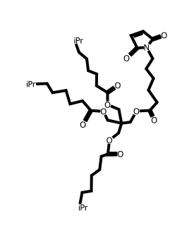 CC(C)CCCCCC(=O)OCC(COC(=O)CCCCCC(C)C)(COC(=O)CCCCCC(C)C)COC(=O)CCCCCN1C(=O)C=CC1=O